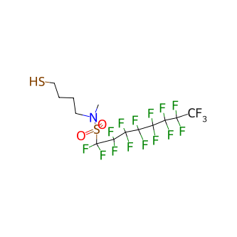 CN(CCCCS)S(=O)(=O)C(F)(F)C(F)(F)C(F)(F)C(F)(F)C(F)(F)C(F)(F)C(F)(F)C(F)(F)F